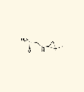 CC1(C)CC1NCC(N)=O